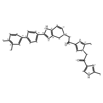 Cc1nc(C(=O)Cn2cc(C(=O)CN3C=Cc4[nH]c(-c5ccc(-c6ccc(C)c(C)c6)cc5)nc4C3)nc2C)c[nH]1